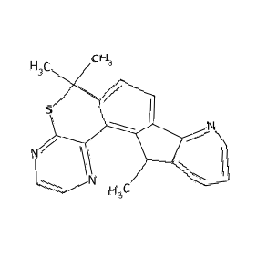 CC1c2cccnc2-c2ccc3c(c21)-c1nccnc1SC3(C)C